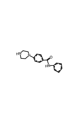 O=C(Nc1ccccc1)c1ccc(N2CCNCC2)cc1